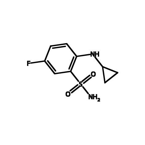 NS(=O)(=O)c1cc(F)ccc1NC1CC1